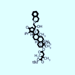 CC(C)C1=C2[C@H]3CC[C@@H]4[C@@]5(C)CC[C@H](OC(=O)CC(C)(C)C(=O)OC(C)(C)C)C(C)(C)[C@]5(C)CC[C@@]4(C)[C@]3(C)CC[C@@]2([C@@H](O)CN2CCc3ccccc3C2)CC1=O